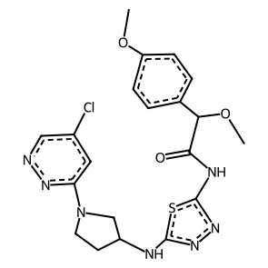 COc1ccc(C(OC)C(=O)Nc2nnc(NC3CCN(c4cc(Cl)cnn4)C3)s2)cc1